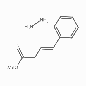 COC(=O)CC=Cc1ccccc1.NN